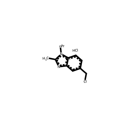 CCCn1c(C)nc2cc(CCl)ccc21.Cl